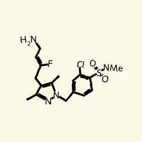 CNS(=O)(=O)c1ccc(Cn2nc(C)c(CC(F)=CCN)c2C)cc1Cl